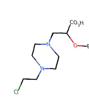 CCOC(CN1CCN(CCCl)CC1)C(=O)O